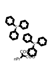 CCCC(C(=O)[O-])C(=O)[O-].c1ccc([S+](c2ccccc2)c2ccccc2)cc1.c1ccc([S+](c2ccccc2)c2ccccc2)cc1